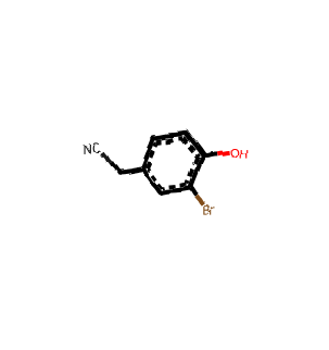 N#CCc1ccc(O)c(Br)c1